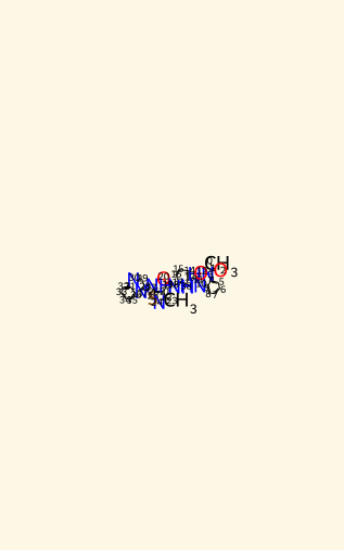 CC(=O)Nc1ccccc1NC(=O)c1cccc(NC(=O)c2c(C)nsc2Nc2cnc3ccccc3n2)c1